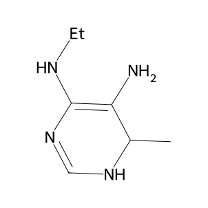 CCNC1=C(N)C(C)NC=N1